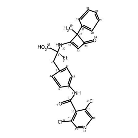 CC[C@@](Cc1ccc(NC(=O)c2c(Cl)cncc2Cl)cc1)(NC1=CC(=O)C1(C)c1ccccc1)C(=O)O